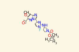 COc1cc2ncc(-c3ccnc(N[C@H]4CN(C(=O)OC(C)(C)C)C[C@@H]4F)n3)n2nc1C1COC1